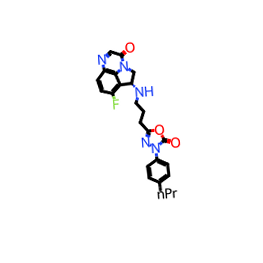 CCCc1ccc(-n2nc(CCCN[C@@H]3Cn4c(=O)cnc5ccc(F)c3c54)oc2=O)cc1